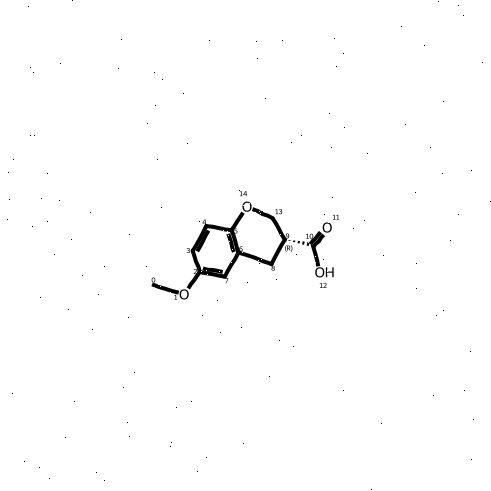 COc1ccc2c(c1)C[C@@H](C(=O)O)CO2